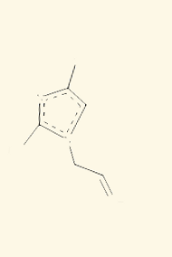 C=CCn1cc(C)nc1C